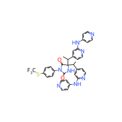 CC(c1ccnc(Nc2ccncc2)c1)C1(C(C)c2ccnc(Nc3ccncc3)c2)NC(=O)N(c2ccc(SC(F)(F)F)cc2)C1=O